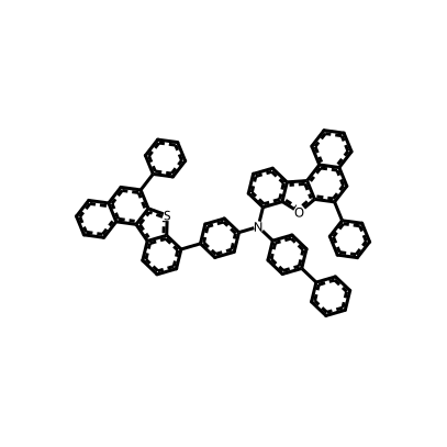 c1ccc(-c2ccc(N(c3ccc(-c4cccc5c4sc4c(-c6ccccc6)cc6ccccc6c45)cc3)c3cccc4c3oc3c(-c5ccccc5)cc5ccccc5c34)cc2)cc1